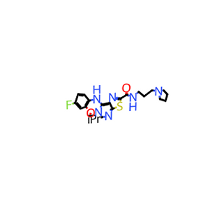 CC(C)Oc1cc(F)ccc1Nc1ncnc2sc(C(=O)NCCCN3CCCC3)nc12